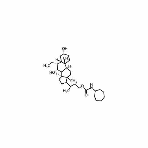 CC[C@H]1[C@@H](O)C2[C@@H]3CC[C@H]([C@H](C)CCOC(=O)NC4CCCCCC4)C3(C)CC[C@@H]2C2(C)CC[C@@H](O)C[C@@H]12